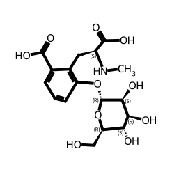 CN[C@@H](Cc1c(O[C@H]2O[C@H](CO)[C@@H](O)[C@H](O)[C@@H]2O)cccc1C(=O)O)C(=O)O